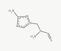 Nc1ncn(CN(N)C=S)n1